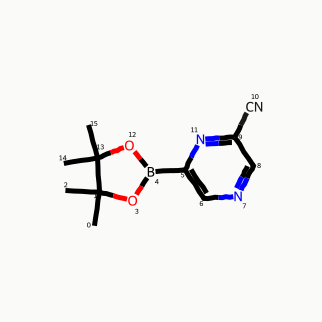 CC1(C)OB(c2cncc(C#N)n2)OC1(C)C